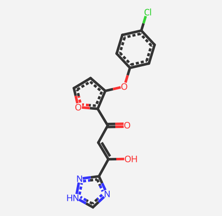 O=C(C=C(O)c1nc[nH]n1)c1occc1Oc1ccc(Cl)cc1